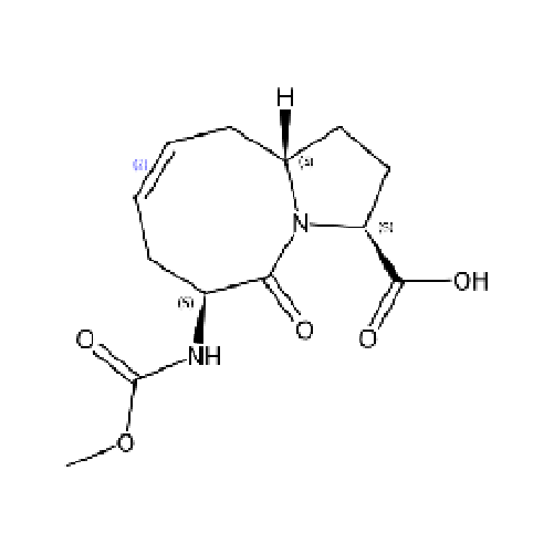 COC(=O)N[C@H]1C/C=C\C[C@@H]2CC[C@@H](C(=O)O)N2C1=O